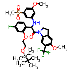 COc1cc(NC(C(=O)N2CCc3cc(OC)c(C(F)(F)F)cc32)c2ccc(F)cc2OCCO[Si](C)(C)C(C)(C)C)cc(S(C)(=O)=O)c1